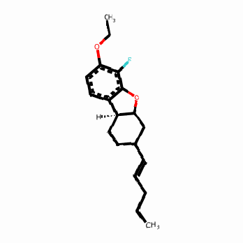 CCC/C=C/C1CC[C@H]2c3ccc(OCC)c(F)c3OC2C1